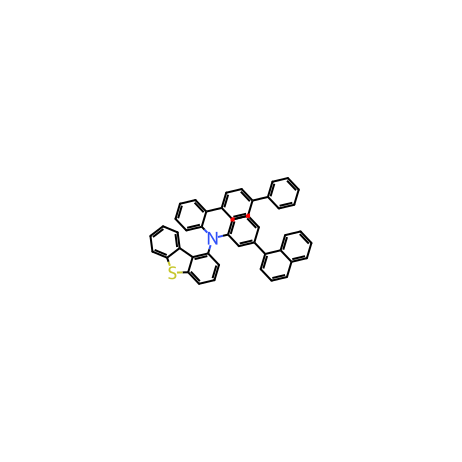 c1ccc(-c2ccc(-c3ccccc3N(c3cccc(-c4cccc5ccccc45)c3)c3cccc4sc5ccccc5c34)cc2)cc1